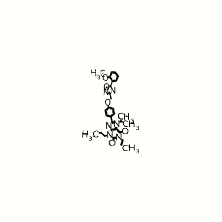 CCCn1c(=O)c2c(nc(-c3ccc(OCc4noc(-c5ccccc5OC)n4)cc3)n2C(C)C)n(CCC)c1=O